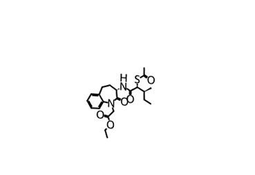 CCOC(=O)CN1C(=O)[C@@H](NC(=O)[C@@H](SC(C)=O)[C@@H](C)CC)CCc2ccccc21